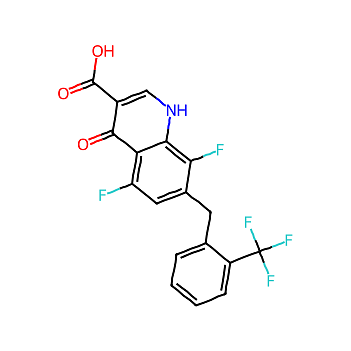 O=C(O)c1c[nH]c2c(F)c(Cc3ccccc3C(F)(F)F)cc(F)c2c1=O